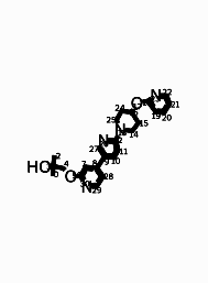 CC(C)(O)COc1cc(-c2ccc(N3CCC(Oc4ccccn4)CC3)nc2)ccn1